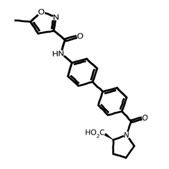 Cc1cc(C(=O)Nc2ccc(-c3ccc(C(=O)N4CCC[C@H]4C(=O)O)cc3)cc2)no1